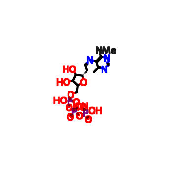 CNc1ncnc(C)c1/N=C\C[C@@H]1OC(COP(=O)(O)OP(=O)(O)OP(=O)(O)O)C(O)C1O